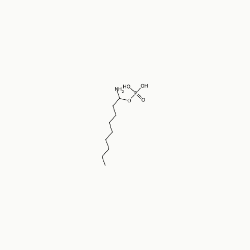 CCCCCCCCC(N)OP(=O)(O)O